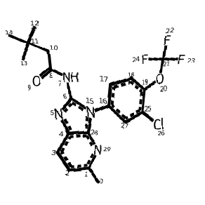 Cc1ccc2nc(NC(=O)CC(C)(C)C)n(-c3ccc(OC(F)(F)F)c(Cl)c3)c2n1